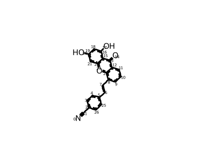 N#Cc1ccc(/C=C/c2cccc3c(=O)c4c(O)cc(O)cc4oc23)cc1